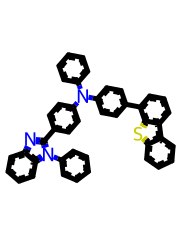 c1ccc(N(c2ccc(-c3cccc4c3sc3ccccc34)cc2)c2ccc(-c3nc4ccccc4n3-c3ccccc3)cc2)cc1